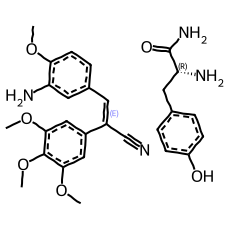 COc1ccc(/C=C(/C#N)c2cc(OC)c(OC)c(OC)c2)cc1N.NC(=O)[C@H](N)Cc1ccc(O)cc1